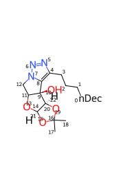 CCCCCCCCCCCCCc1nnn2c1[C@@]1(O)C(C2)O[C@@H]2OC(C)(C)O[C@@H]21